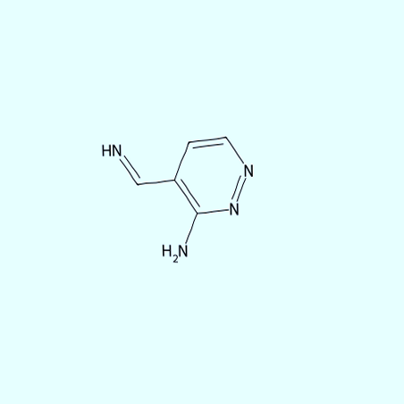 N=Cc1ccnnc1N